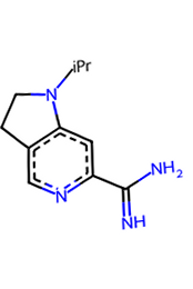 CC(C)N1CCc2cnc(C(=N)N)cc21